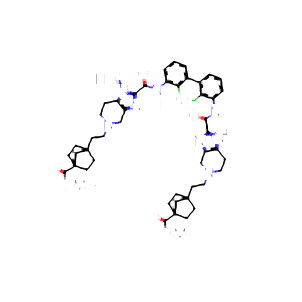 COC(=O)C12CCC(CCN3CCc4c(nc(C(=O)Nc5cccc(-c6cccc(NC(=O)c7nc8c(n7C)CCN(CCC79CCC(C(=O)OC)(CC7)C9)C8)c6Cl)c5Cl)n4C)C3)(CC1)C2